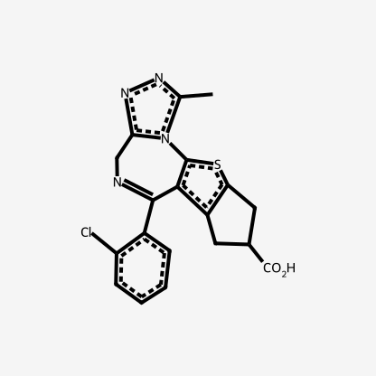 Cc1nnc2n1-c1sc3c(c1C(c1ccccc1Cl)=NC2)CC(C(=O)O)C3